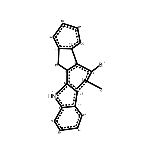 Cc1c(Br)c2c(c3[nH]c4ccccc4c13)Cc1ccccc1-2